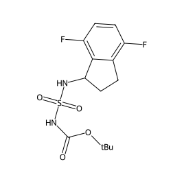 CC(C)(C)OC(=O)NS(=O)(=O)NC1CCc2c(F)ccc(F)c21